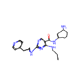 CCCNc1nc(NCCc2ccncc2)ncc1C(=O)NC1CCCC(N)C1